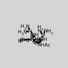 CC(=O)N[C@H](CC(=O)NCCN(CCN)CCN)C(=O)N[C@@H](CC(=O)NCCN(CCN)CCN)C(=O)NCCOCCN=[N+]=[N-]